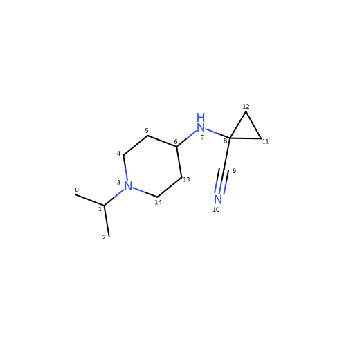 CC(C)N1CCC(NC2(C#N)CC2)CC1